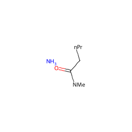 CCCCC(=O)NC.N